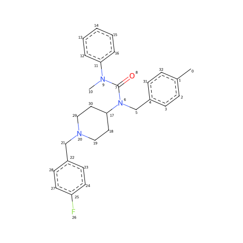 Cc1ccc(CN(C(=O)N(C)c2ccccc2)C2CCN(Cc3ccc(F)cc3)CC2)cc1